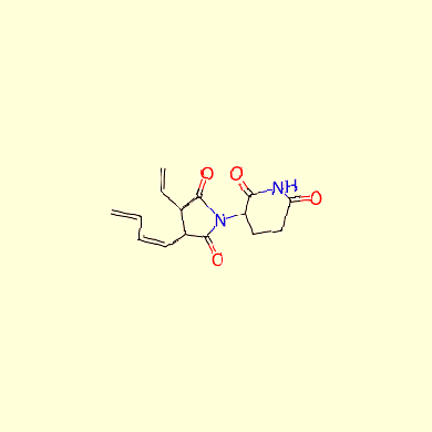 C=C/C=C\C1C(=O)N(C2CCC(=O)NC2=O)C(=O)C1C=C